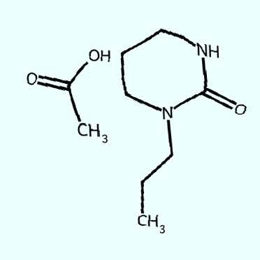 CC(=O)O.CCCN1CCCNC1=O